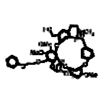 COc1ccc2cc1Oc1ccc(cc1)C[C@H]1c3cc(c(CO)cc3CCN1C)Oc1c(OC)c(OC)c(COCCOc3ccccc3)c3c1[C@H](C2)N(C)CC3